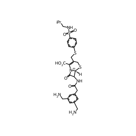 CC(C)CNS(=O)(=O)c1ccc(SCC2=C(C(=O)O)N3C(=O)C(NC(=O)Cc4cc(CN)cc(CN)c4)[C@H]3SC2)cc1